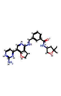 CC1(C)CC(NC(=O)c2cccc(CNc3ncc(-c4ccnc(N)n4)c4c3CCO4)c2)CO1